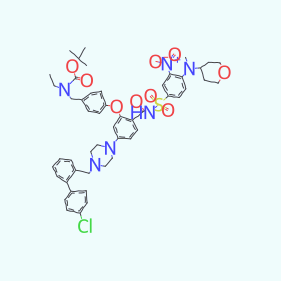 CCN(Cc1ccc(Oc2cc(N3CCN(Cc4ccccc4-c4ccc(Cl)cc4)CC3)ccc2C(=O)NS(=O)(=O)c2ccc(N(C)C3CCOCC3)c([N+](=O)[O-])c2)cc1)C(=O)OC(C)(C)C